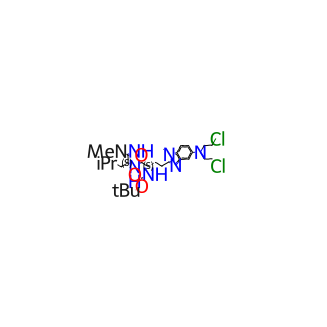 CNC(=N)[C@H](CC(C)C)NC(=O)[C@H](CCc1nc2cc(N(CCCl)CCCl)ccc2n1C)NC(=O)OC(C)(C)C